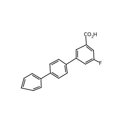 O=C(O)c1cc(F)cc(-c2ccc(-c3ccccc3)cc2)c1